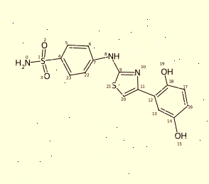 NS(=O)(=O)c1ccc(Nc2nc(-c3cc(O)ccc3O)cs2)cc1